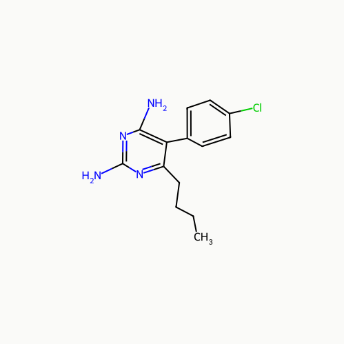 CCCCc1nc(N)nc(N)c1-c1ccc(Cl)cc1